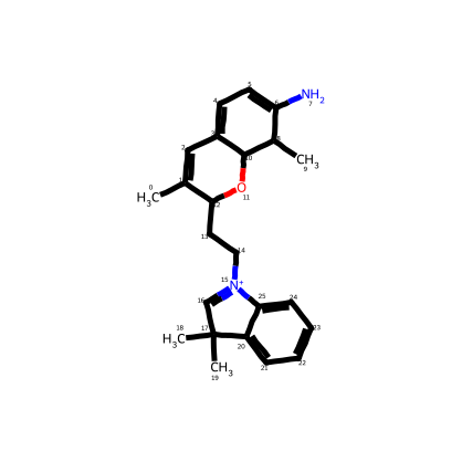 CC1=CC2=CC=C(N)C(C)C2OC1CC[N+]1=CC(C)(C)c2ccccc21